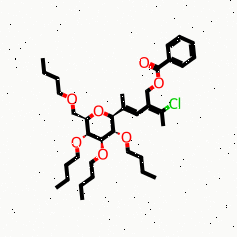 CCCCOC[C@H]1O[C@@H](/C(C)=C/C(COC(=O)c2ccccc2)=C(\C)Cl)[C@H](OCCCC)[C@@H](OCCCC)[C@@H]1OCCCC